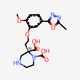 COc1ccc(-c2nnc(C)o2)cc1OCC[C@]1(C(=O)O)CNCCN1C(=O)O